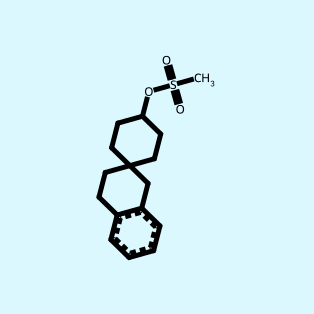 CS(=O)(=O)OC1CCC2(CCc3ccccc3C2)CC1